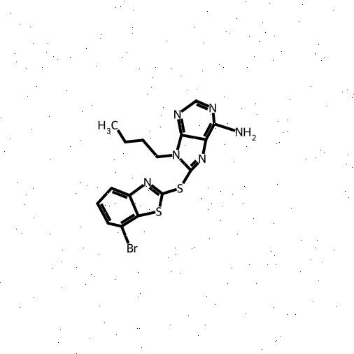 CCCCn1c(Sc2nc3cccc(Br)c3s2)nc2c(N)ncnc21